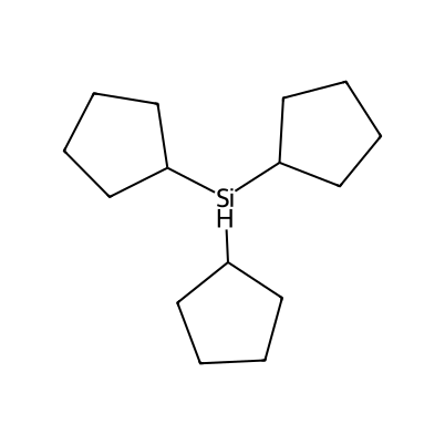 C1CCC([SiH](C2CCCC2)C2CCCC2)C1